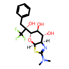 CN(C)C1=N[C@@H]2[C@@H](O)[C@H](O)[C@@H]([C@](O)(Cc3ccccc3)C(F)(F)F)O[C@@H]2S1